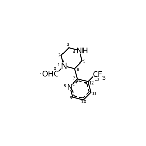 O=[C]N1CCNCC1c1ncccc1C(F)(F)F